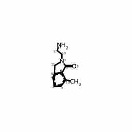 Cc1cccc2c1C(=O)N(CCN)C2